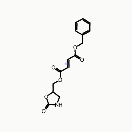 O=C(/C=C/C(=O)OCC1CNC(=O)O1)OCc1ccccc1